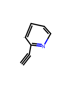 C#Cc1[c]cccn1